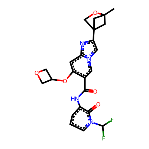 CC12CC(c3cn4cc(C(=O)Nc5cccn(C(F)F)c5=O)c(OC5COC5)cc4n3)(CO1)C2